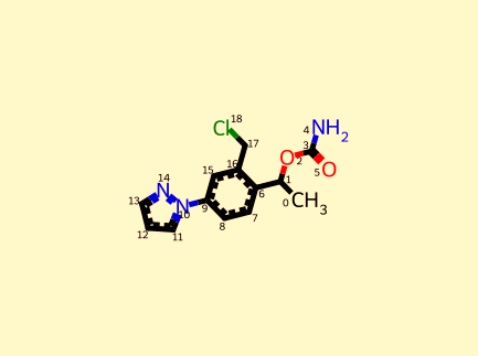 CC(OC(N)=O)c1ccc(-n2cccn2)cc1CCl